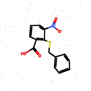 O=C(O)c1cccc([N+](=O)[O-])c1SCc1ccccc1